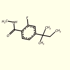 CCC(C)(C)c1ccc(C(=O)NC)c(F)c1